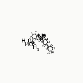 CC(C)(O)c1cccc(NS(=O)(=O)c2ccc(-c3ccccc3)cc2)c1